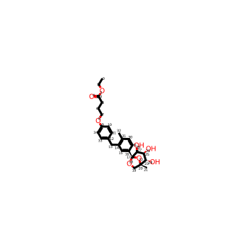 CCOC(=O)CCCOc1ccc(Cc2cc([C@]34OC[C@](C)(O3)[C@@H](O)[C@H](O)C4O)ccc2C)cc1